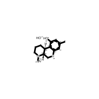 CCCN1CCC[C@H]2c3c(O)cc(C)cc3OC[C@@H]21.Cl